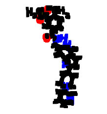 Cc1ccc(C(=O)NCc2cc3nc(C4CCN(c5cccnc5)CC4)ccc3cn2)cc1S(C)(=O)=O